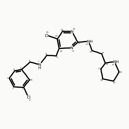 Clc1cccc(CNCCc2nc(NCCC3CCCCN3)ncc2Cl)c1